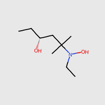 CC[C@@H](O)CC(C)(C)N(O)CC